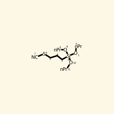 CCCO[Si](CCCSC#N)(OCCC)OCCC